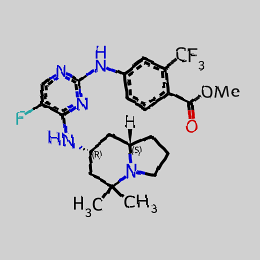 COC(=O)c1ccc(Nc2ncc(F)c(N[C@@H]3C[C@@H]4CCCN4C(C)(C)C3)n2)cc1C(F)(F)F